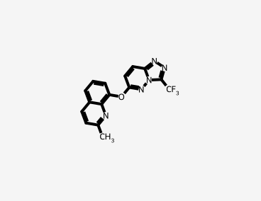 Cc1ccc2cccc(Oc3ccc4nnc(C(F)(F)F)n4n3)c2n1